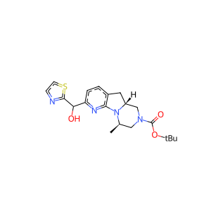 C[C@@H]1CN(C(=O)OC(C)(C)C)C[C@H]2Cc3ccc(C(O)c4nccs4)nc3N21